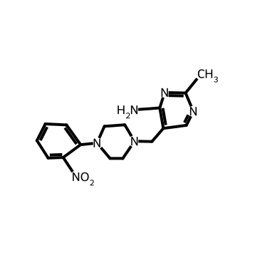 Cc1ncc(CN2CCN(c3ccccc3[N+](=O)[O-])CC2)c(N)n1